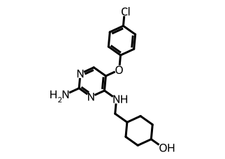 Nc1ncc(Oc2ccc(Cl)cc2)c(NCC2CCC(O)CC2)n1